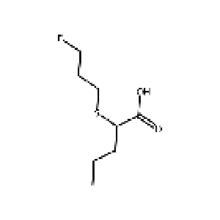 CCCC(SCCCF)C(=O)O